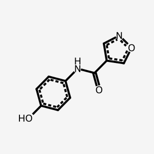 O=C(Nc1ccc(O)cc1)c1cnoc1